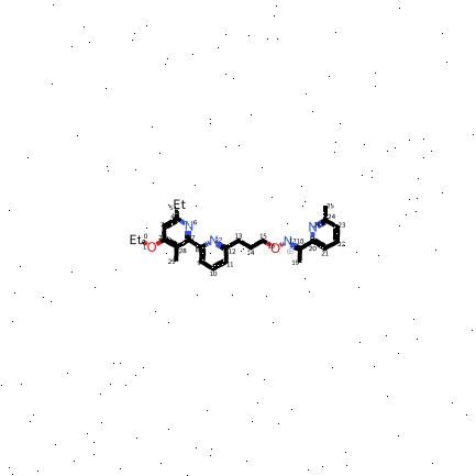 CCOc1cc(CC)nc(-c2cccc(CCCO/N=C(\C)c3cccc(C)n3)n2)c1C